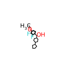 CCOc1ccc(C(O)C2CCC(C3CCCC3)CC2)c(F)c1F